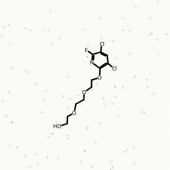 OCCOCCOCCOc1nc(F)c(Cl)cc1Cl